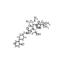 CC(C)[C@@H](C(=O)N1C[C@H](O)C[C@H]1C(=O)NCc1ccc(-c2cnccc2Cl)cc1)n1cc(C(C)(C)C)nn1